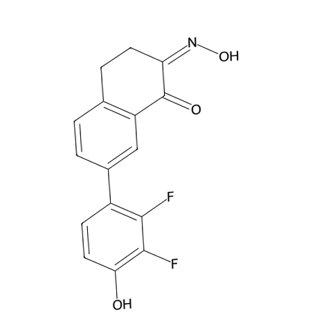 O=C1/C(=N\O)CCc2ccc(-c3ccc(O)c(F)c3F)cc21